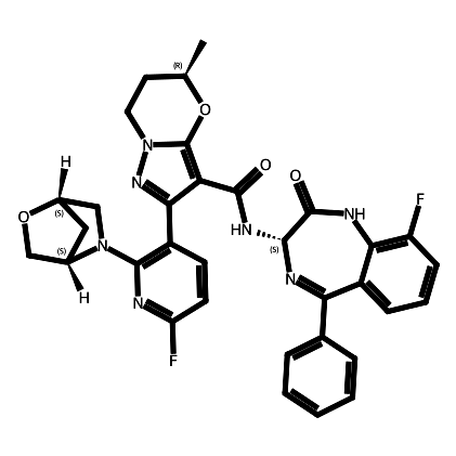 C[C@@H]1CCn2nc(-c3ccc(F)nc3N3C[C@@H]4C[C@H]3CO4)c(C(=O)N[C@H]3N=C(c4ccccc4)c4cccc(F)c4NC3=O)c2O1